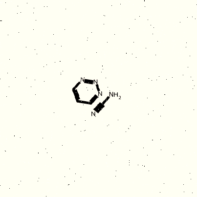 N#CN.c1cnnnc1